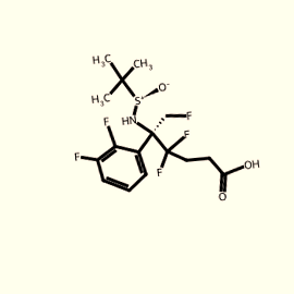 CC(C)(C)[S@@+]([O-])N[C@](CF)(c1cccc(F)c1F)C(F)(F)CCC(=O)O